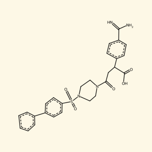 N=C(N)c1ccc(C(CC(=O)N2CCN(S(=O)(=O)c3ccc(-c4ccccc4)cc3)CC2)C(=O)O)cc1